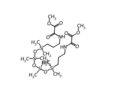 COC(=O)C(=O)NCCC[Si](C)(C)O[Si](C)(C)O[Si](C)(C)O[Si](C)(C)CCCNC(=O)C(=O)OC